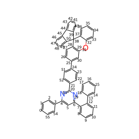 c1ccc(-c2cc(-c3ccccc3-c3ccccc3)nc(-c3ccc(-c4ccc5c(c4)Oc4ccccc4C54c5ccccc5-c5ccccc54)cc3)n2)cc1